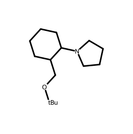 CC(C)(C)OCC1CCCCC1N1CCCC1